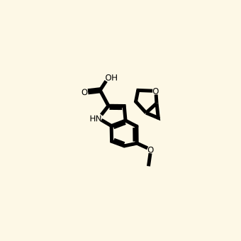 C1CC2CC2O1.COc1ccc2[nH]c(C(=O)O)cc2c1